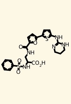 O=C(NCC(NS(=O)(=O)c1ccccc1)C(=O)O)c1ccc(-c2ccc(NC3=NCCCN3)s2)o1